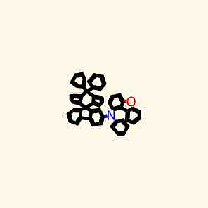 c1ccc(N(c2ccc3c(c2)C2(c4ccccc4-3)c3ccccc3C(c3ccccc3)(c3ccccc3)c3ccccc32)c2cccc3oc4ccccc4c23)cc1